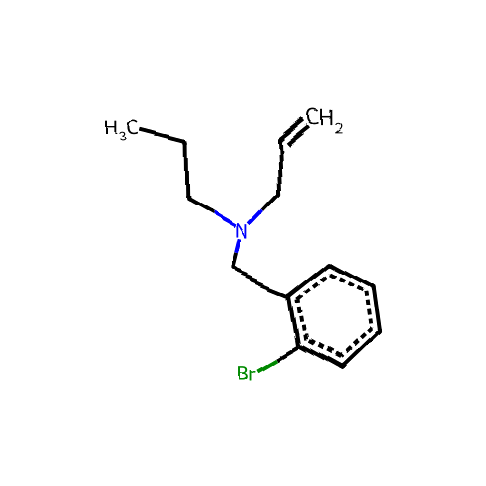 C=CCN(CCC)Cc1ccccc1Br